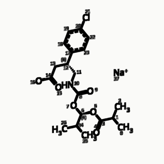 CC(C)C(=O)O[C@H](OC(=O)NC[C@H](CC(=O)[O-])c1ccc(Cl)cc1)C(C)C.[Na+]